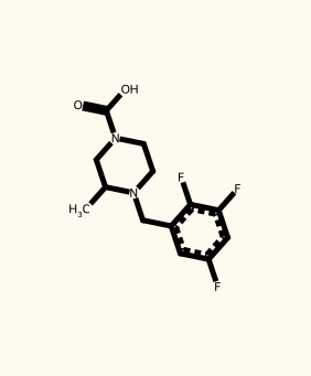 CC1CN(C(=O)O)CCN1Cc1cc(F)cc(F)c1F